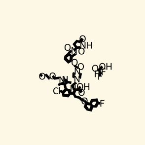 COCCOCCn1nc(C)c(-c2c(Cl)ccc3c(CCCOc4cccc5cc(F)ccc45)c(C(=O)O)n(CCN4CCN(C(=O)COc5cccc6c5CN(C5CCC(=O)NC5=O)C6=O)CC4)c23)c1C.O=C(O)C(F)(F)F